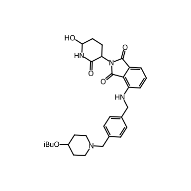 CC(C)COC1CCN(Cc2ccc(CNc3cccc4c3C(=O)N(C3CCC(O)NC3=O)C4=O)cc2)CC1